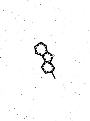 Cc1ccc2c(c1)oc1ccc[c]c12